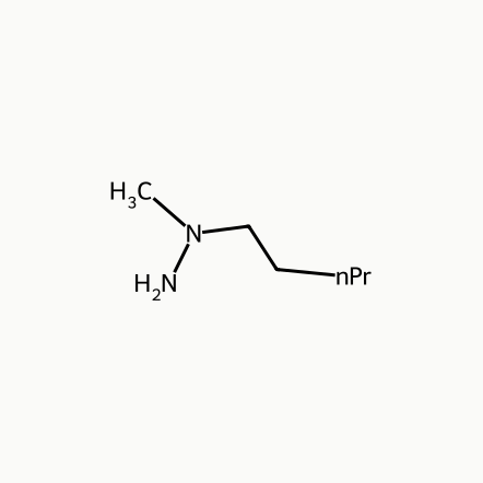 CCCCCN(C)N